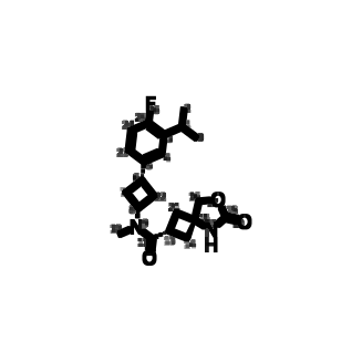 CC(C)c1cc([C@H]2C[C@@H](N(C)C(=O)[C@H]3C[C@]4(COC(=O)N4)C3)C2)ccc1F